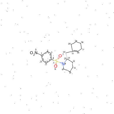 O=[N+]([O-])c1ccc(S(=O)(=O)N2CCCC[C@H]2CC2=CCCCC2)cc1